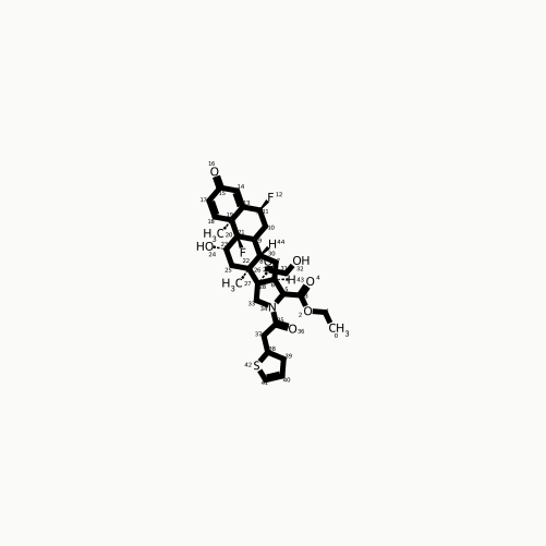 CCOC(=O)C1[C@@H]2C[C@H]3C4C[C@H](F)C5=CC(=O)C=C[C@]5(C)[C@@]4(F)[C@@H](O)C[C@]3(C)[C@]2(C(=O)CO)CN1C(=O)CC1CC=CS1